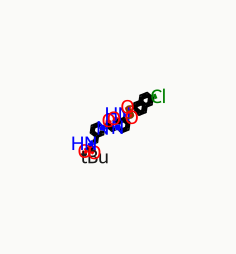 CC(C)(C)OC(=O)NCC1CCCN(C(=O)CN2CCC[C@H](NS(=O)(=O)c3ccc4cc(Cl)ccc4c3)C2=O)C1